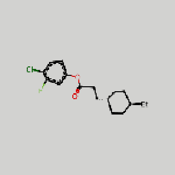 CC[C@H]1CC[C@H](CCC(=O)Oc2ccc(Cl)c(F)c2)CC1